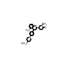 Cc1ccccc1C(C/C(=N\O)[C@@H]1CCC(=O)N(C)C1)c1ccc(N2CCC(C(=O)O)CC2)cc1